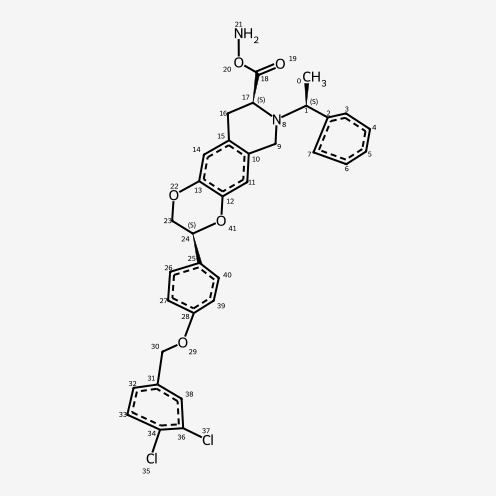 C[C@@H](c1ccccc1)N1Cc2cc3c(cc2C[C@H]1C(=O)ON)OC[C@H](c1ccc(OCc2ccc(Cl)c(Cl)c2)cc1)O3